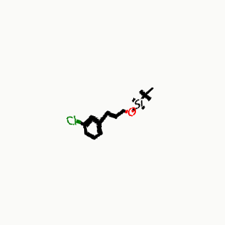 CC(C)(C)[Si](C)(C)OCCCc1cccc(Cl)c1